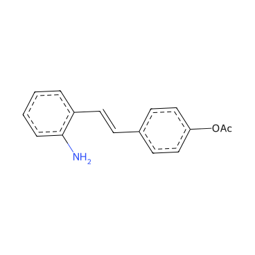 CC(=O)Oc1ccc(C=Cc2ccccc2N)cc1